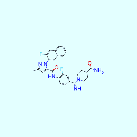 Cc1cc(C(=O)Nc2ccc(C(=N)N3CCC(C(N)=O)CC3)cc2F)n(-c2cc3ccccc3cc2F)n1